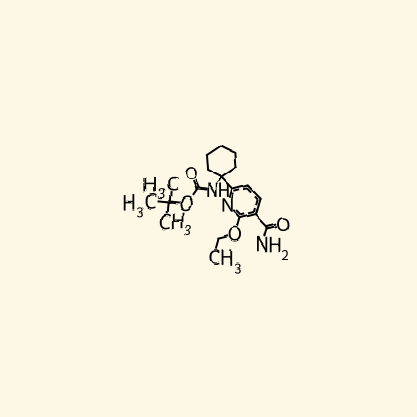 CCOc1nc(C2(NC(=O)OC(C)(C)C)CCCCC2)ccc1C(N)=O